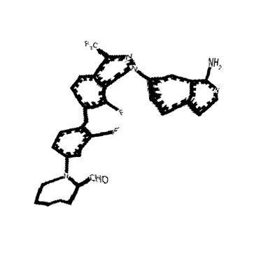 Nc1nccc2ccc(-n3nc(C(F)(F)F)c4ccc(-c5ccc(N6CCCCC6C=O)cc5F)c(F)c43)cc12